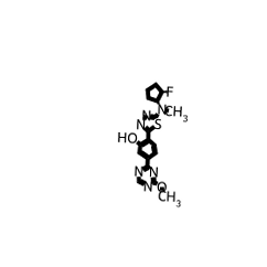 COc1ncnc(-c2ccc(-c3nnc(N(C)[C@H]4CCC[C@H]4F)s3)c(O)c2)n1